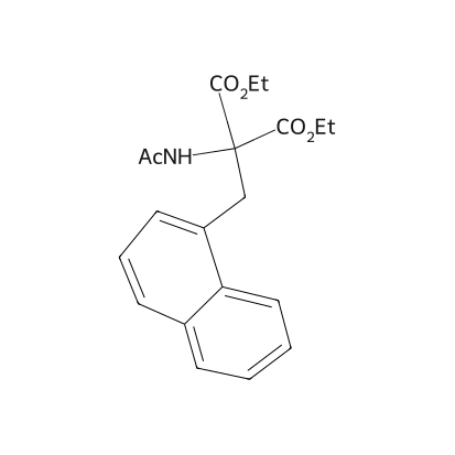 CCOC(=O)C(Cc1cccc2ccccc12)(NC(C)=O)C(=O)OCC